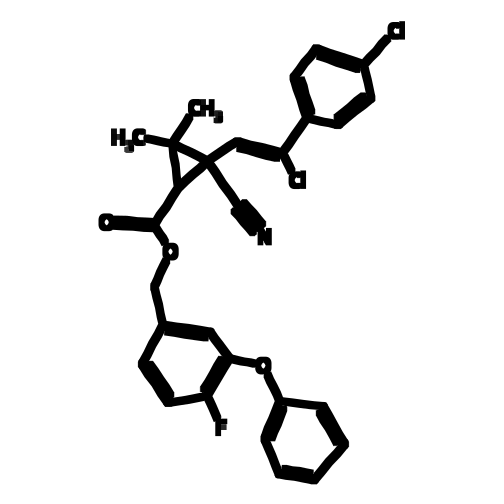 CC1(C)C(C(=O)OCc2ccc(F)c(Oc3ccccc3)c2)C1(C#N)C=C(Cl)c1ccc(Cl)cc1